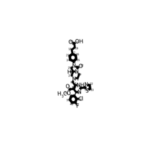 COC(=O)C1=C(CN2CCN3C(=O)N(c4ccc(CCC(=O)O)cc4)C[C@@H]3C2)NC(c2nccs2)=N[C@H]1c1cccc(F)c1Cl